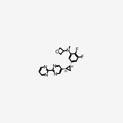 CN(c1cc([C@@H]2C[C@H]2c2cnc(-c3ncccn3)nc2)cc(F)c1F)C1COC1